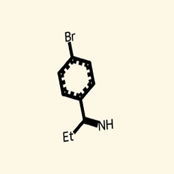 CCC(=N)c1ccc(Br)cc1